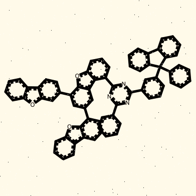 c1ccc(-c2nc(-c3cccc(C4(c5ccccc5)c5ccccc5-c5ccccc54)c3)nc(-c3cccc4oc5c(-c6ccc7c(c6)oc6ccccc67)cc(-c6cccc7c6oc6ccccc67)cc5c34)n2)cc1